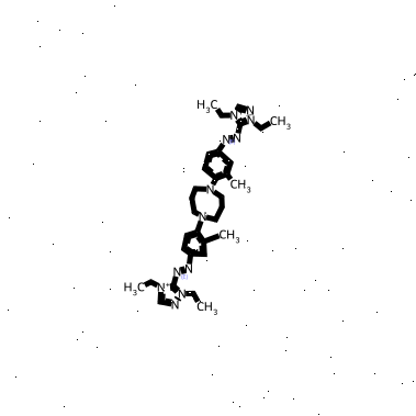 CCn1nc[n+](CC)c1/N=N/c1ccc(N2CCCN(c3ccc(/N=N/c4n(CC)nc[n+]4CC)cc3C)CCC2)c(C)c1